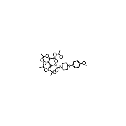 COc1ccc(N2CCN(C(=O)[C@H]3O[C@@H](OC(C)=O)[C@H](OC(C)=O)[C@@H](OC(C)=O)[C@@H]3OC(C)=O)CC2)cc1